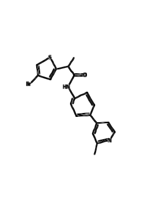 Cc1cc(-c2ccc(NC(=O)C(C)c3cc(Br)cs3)cc2)ccn1